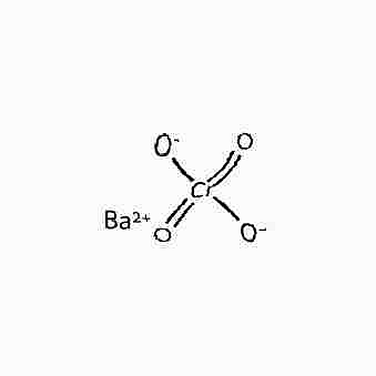 [Ba+2].[O]=[Cr](=[O])([O-])[O-]